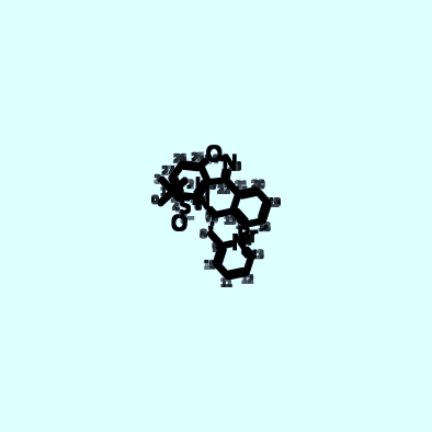 CC(C)(C)[S+]([O-])N[C@@H](Cc1ccccn1)c1c(Br)cccc1-c1noc2ccccc12